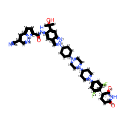 CC(C)(O)c1cc2nn([C@H]3CC[C@H](N4CCN(C5CCN(c6cc(F)c([C@H]7CCC(=O)NC7=O)c(F)c6)CC5)CC4)CC3)cc2cc1NC(=O)c1ccc2cc(C#N)cnn12